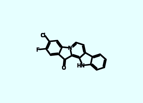 O=C1c2cc(F)c(Cl)cc2-[n+]2ccc3c([nH]c4ccccc43)c21